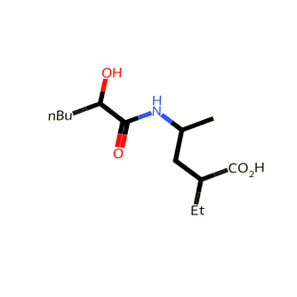 CCCCC(O)C(=O)NC(C)CC(CC)C(=O)O